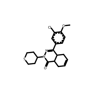 COc1ccc(C2=NN(C3CCSCC3)C(=O)C3CC=CCC23)cc1Cl